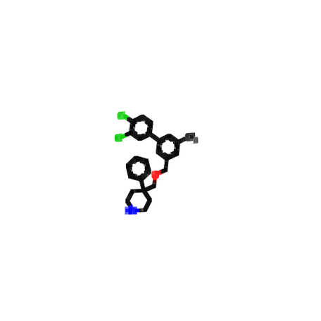 FC(F)(F)c1cc(COCC2(c3ccccc3)CCNCC2)cc(-c2ccc(Cl)c(Cl)c2)c1